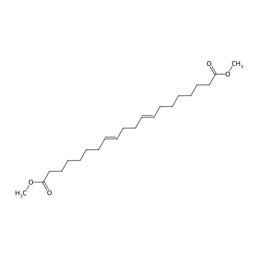 COC(=O)CCCCCCC=CCCC=CCCCCCCC(=O)OC